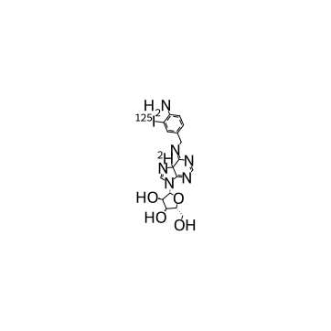 [2H]C12N=CN([C@@H]3O[C@H](CO)[C@@H](O)[C@H]3O)C1=NC=NC2=NCc1ccc(N)c([125I])c1